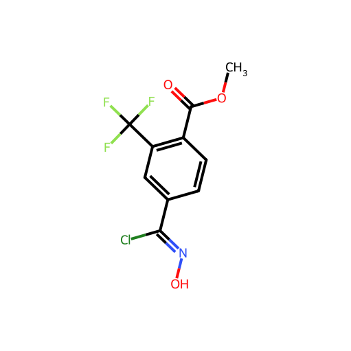 COC(=O)c1ccc(/C(Cl)=N/O)cc1C(F)(F)F